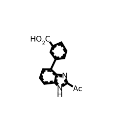 CC(=O)c1nc2c(-c3cccc(C(=O)O)c3)cccc2[nH]1